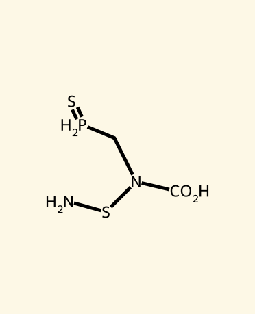 NSN(C[PH2]=S)C(=O)O